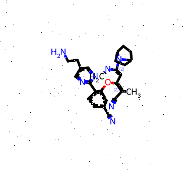 C=N/C(=C\C(Oc1cc(C#N)ccc1-c1ncc(CCN)cn1)=C(/C)C#N)N1C2CCC1CC2